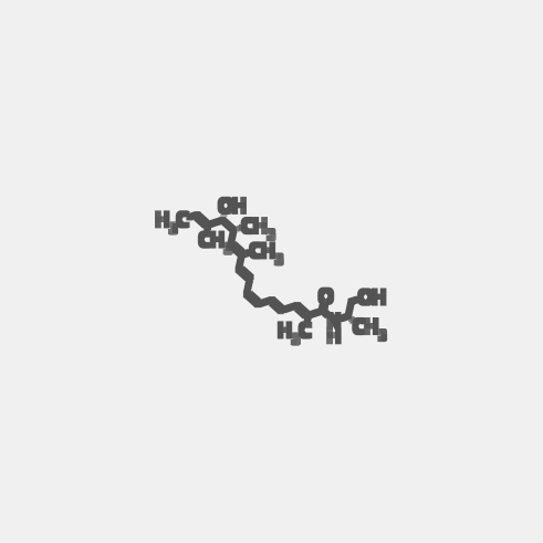 C/C=C(\C)[C@H](O)[C@H](C)/C=C(C)/C=C/C=C\C=C\C=C(/C)C(=O)N[C@@H](C)CO